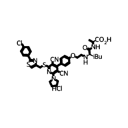 CC[C@H](C)[C@H](NCCOc1ccc(-c2c(C#N)c(SCc3csc(-c4ccc(Cl)cc4)n3)nc(N3CCCC3)c2C#N)cc1)C(=O)N[C@@H](C)C(=O)O.Cl